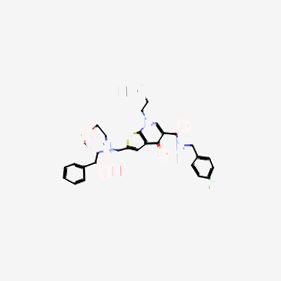 CCCn1cc(C(=O)NCc2ccc(Cl)cc2)c(=O)c2cc(CN3CCOC[C@@H]3[C@@H](O)c3ccccc3)sc21